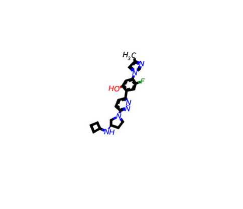 Cc1cn(-c2cc(O)c(-c3ccc(N4CC[C@@H](NC5CCC5)C4)nn3)cc2F)cn1